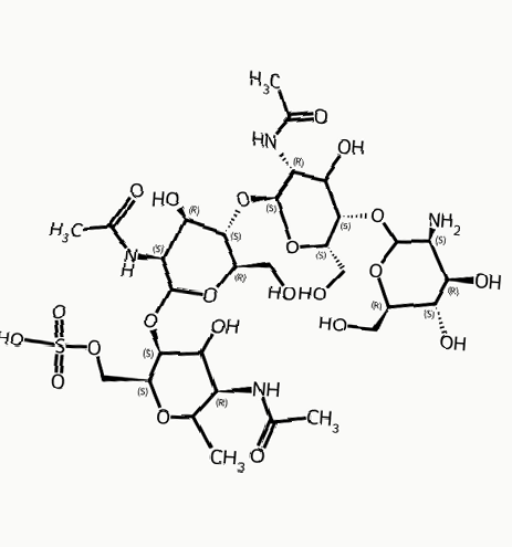 CC(=O)N[C@H]1C(C)O[C@@H](COS(=O)(=O)O)[C@@H](OC2O[C@H](CO)[C@@H](O[C@@H]3O[C@@H](CO)[C@@H](OC4O[C@H](CO)[C@@H](O)[C@H](O)[C@@H]4N)C(O)[C@H]3NC(C)=O)[C@H](O)[C@@H]2NC(C)=O)C1O